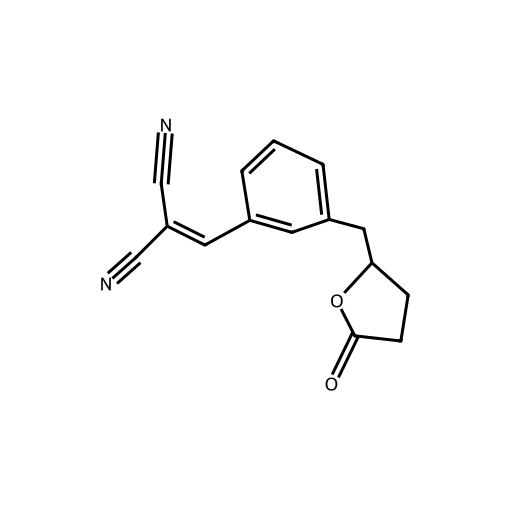 N#CC(C#N)=Cc1cccc(CC2CCC(=O)O2)c1